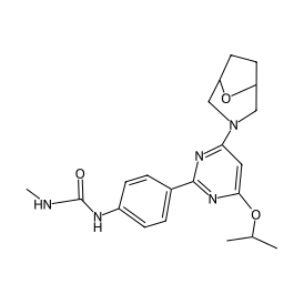 CNC(=O)Nc1ccc(-c2nc(OC(C)C)cc(N3CC4CCC(C3)O4)n2)cc1